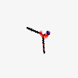 CCCCCCCCCCCCCCCC(=O)OC[C@H](COP(=O)([O-])OC(CC)C[N+](C)(C)C)OC(=O)CCCCCCCCCCCCCCC